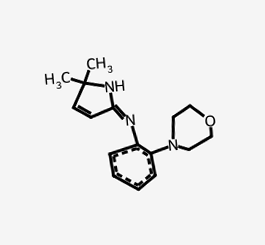 CC1(C)C=CC(=Nc2ccccc2N2CCOCC2)N1